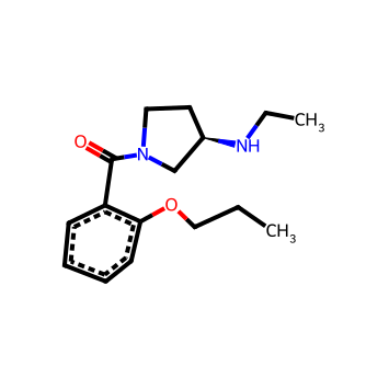 CCCOc1ccccc1C(=O)N1CC[C@@H](NCC)C1